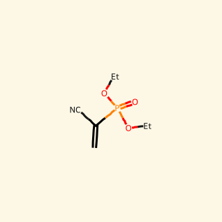 C=C(C#N)P(=O)(OCC)OCC